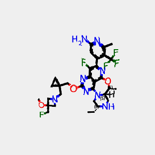 CC[C@@H]1CN2c3nc(OCC4(CN5CC(CF)(OC)C5)CC4)nc4c(F)c(-c5cc(N)nc(C)c5C(F)(F)F)nc(c34)O[C@@H](C)[C@@H]2CN1